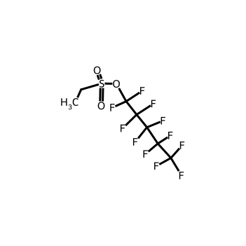 CCS(=O)(=O)OC(F)(F)C(F)(F)C(F)(F)C(F)(F)C(F)(F)F